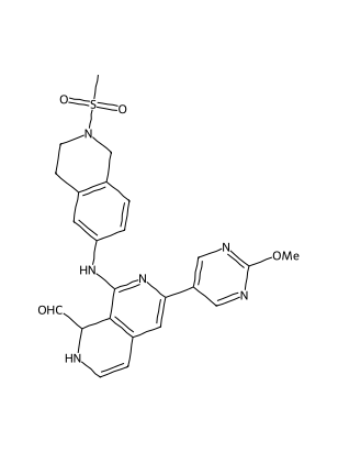 COc1ncc(-c2cc3c(c(Nc4ccc5c(c4)CCN(S(C)(=O)=O)C5)n2)C(C=O)NC=C3)cn1